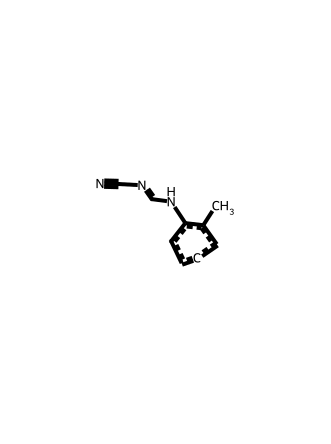 Cc1ccccc1NC=NC#N